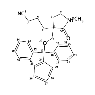 CN1CC[C@](CCCC#N)(COC(c2ccccc2)(c2ccccc2)c2ccccc2)C1=O